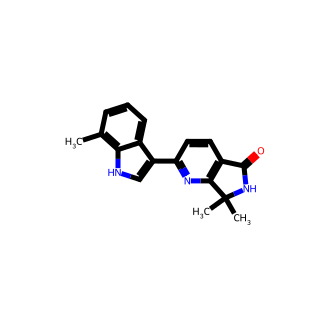 Cc1cccc2c(-c3ccc4c(n3)C(C)(C)NC4=O)c[nH]c12